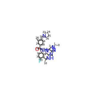 CCn1cc2ncc(N[C@@H](C)c3cc(NC(=O)c4ccc(CN5CCCC5)c(C)c4)ccc3F)nc2n1